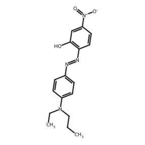 CCCN(CC)c1ccc(/N=N/c2ccc([N+](=O)[O-])cc2O)cc1